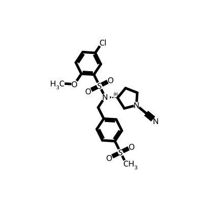 COc1ccc(Cl)cc1S(=O)(=O)N(Cc1ccc(S(C)(=O)=O)cc1)[C@@H]1CCN(C#N)C1